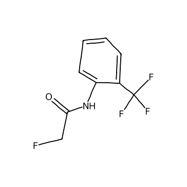 O=C(CF)Nc1ccccc1C(F)(F)F